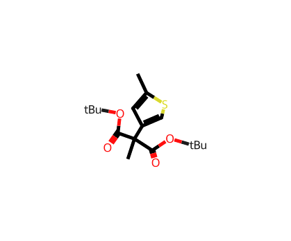 Cc1cc(C(C)(C(=O)OC(C)(C)C)C(=O)OC(C)(C)C)cs1